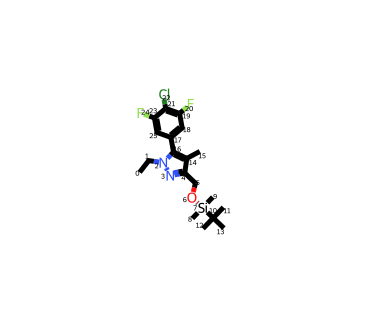 CCn1nc(CO[Si](C)(C)C(C)(C)C)c(C)c1-c1cc(F)c(Cl)c(F)c1